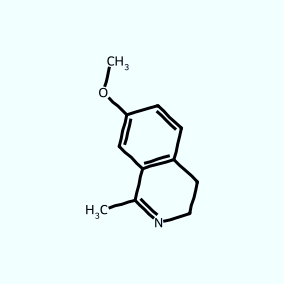 COc1ccc2c(c1)C(C)=NCC2